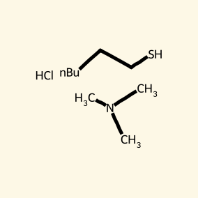 CCCCCCS.CN(C)C.Cl